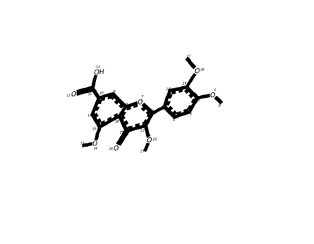 COc1ccc(-c2oc3cc(C(=O)O)cc(OC)c3c(=O)c2OC)cc1OC